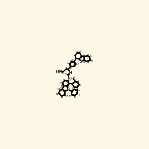 Cc1ccccc1-c1c(N/C=N/C(=C\C=N)c2ccc(C3CC=Cc4c3sc3ccccc43)cc2)ccc2c3ccccc3n(-c3ccccc3)c12